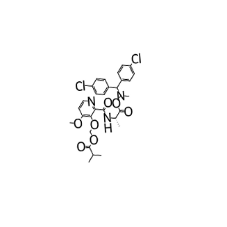 COc1ccnc(C(=O)N[C@@H](C)C(=O)ON(C)C(c2ccc(Cl)cc2)c2ccc(Cl)cc2)c1OCOC(=O)C(C)C